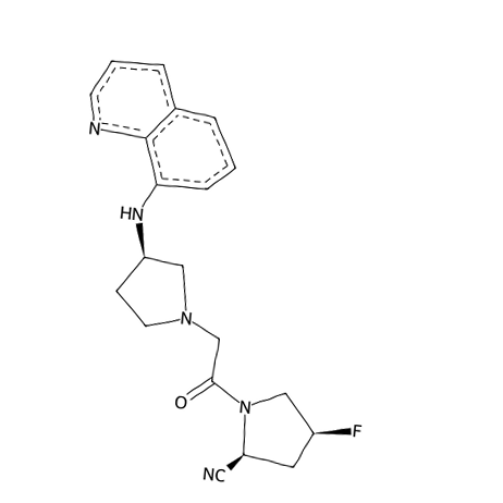 N#C[C@@H]1C[C@H](F)CN1C(=O)CN1CC[C@@H](Nc2cccc3cccnc23)C1